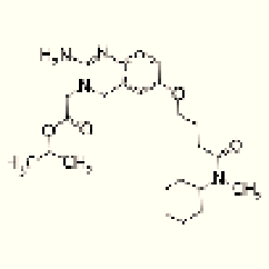 CC(C)OC(=O)CN1Cc2cc(OCCCC(=O)N(C)C3CCCCC3)ccc2N=C1N